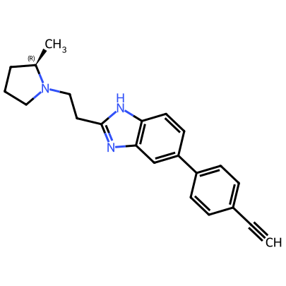 C#Cc1ccc(-c2ccc3[nH]c(CCN4CCC[C@H]4C)nc3c2)cc1